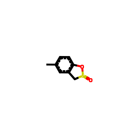 Cc1ccc2c(c1)CS(=O)O2